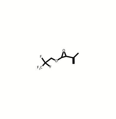 C=C(C)C1OC1OCC(F)(F)C(F)(F)F